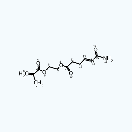 C=C(C)C(=O)OCCOC(=O)CCC=NC(N)=O